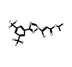 CC(C)OC(=O)/C=C(\Br)n1cnc(-c2cc(C(F)(F)F)cc(C(F)(F)F)c2)n1